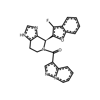 O=C(c1cnn2ccccc12)N1CCc2[nH]cnc2[C@H]1c1oc2ccccc2c1F